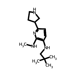 CNc1nc(C2CCNC2)ccc1NCC(C)(C)C